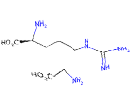 N=C(N)NCCC[C@H](N)C(=O)O.NCC(=O)O